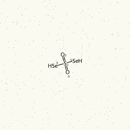 O=S(=O)([SeH])[SeH]